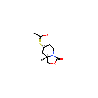 CC(O)=[SH][C@H]1CCN2C(=O)OC[C@@H]2C1